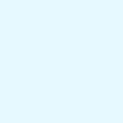 c1ccc(-c2cccc(-c3cccc4c3oc3c(-c5ccccc5)c5oc6c(-c7cccc(-c8ccccc8)c7)cccc6c5cc34)c2)cc1